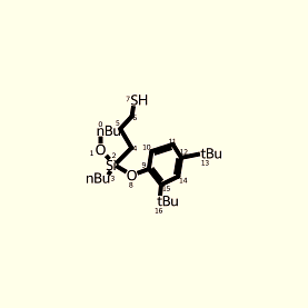 CCCCO[Si](CCCC)(CCCS)Oc1ccc(C(C)(C)C)cc1C(C)(C)C